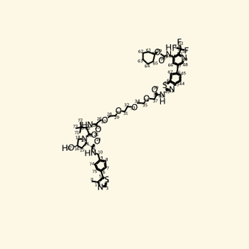 Cc1ncsc1-c1ccc(CNC(=O)[C@@H]2C[C@@H](O)CN2C(=O)[C@@H](NC(=O)COCCOCCOCCOCC(=O)Nc2nc3ccc(-c4cnc(C(F)(F)F)c(NC(=O)OC5CCCCC5)c4)cc3s2)C(C)(C)C)cc1